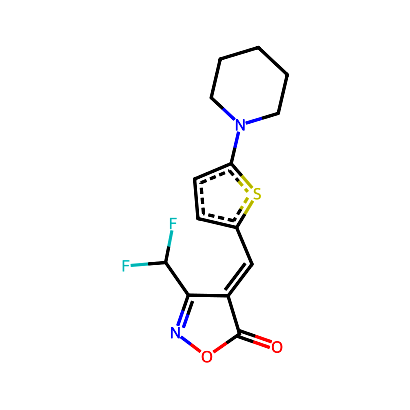 O=C1ON=C(C(F)F)/C1=C\c1ccc(N2CCCCC2)s1